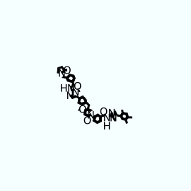 COc1cc(-c2cnc(NC(=O)c3cccc(CN4CCCC4=O)c3)n2C)ccc1Cc1ccc(=O)n(-c2cccc(C(=O)Nc3ncc(-c4cc(C)c(C)cc4C)n3C)c2)c1